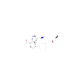 CC#CC(=O)NC1CCCC(c2c(F)c(F)c(C(N)=O)c3[nH]c(C)c(C#N)c23)C1